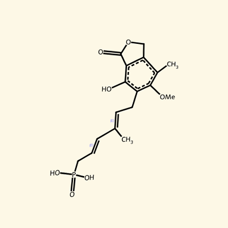 COc1c(C)c2c(c(O)c1C/C=C(C)/C=C/CP(=O)(O)O)C(=O)OC2